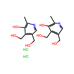 Cc1ncc(CO)c(CO)c1O.Cc1ncc(CO)c(CO)c1O.Cl.Cl